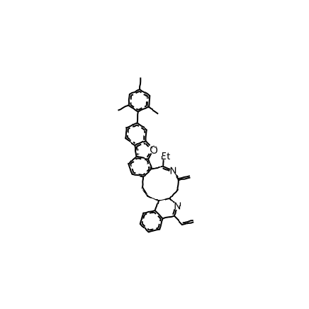 C=CC1=NC2CC(=C)/N=C(/CC)c3c(ccc4c3oc3cc(-c5c(C)cc(C)cc5C)ccc34)CCC2c2ccccc21